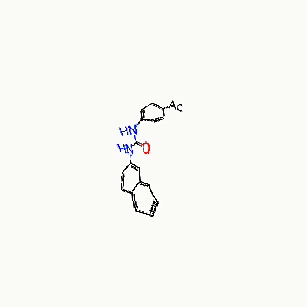 CC(=O)c1ccc(NC(=O)Nc2ccc3ccccc3c2)cc1